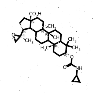 CC1(C)C2CC[C@]3(C)C(CCC4C5[C@H]([C@@]6(C)CO6)CC[C@]5(C(=O)O)CC[C@]43C)[C@@]2(C)CC[C@H]1OC(=O)NC1CC1